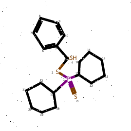 S=P(S[C@H](S)c1ccccc1)(C1CCCCC1)C1CCCCC1